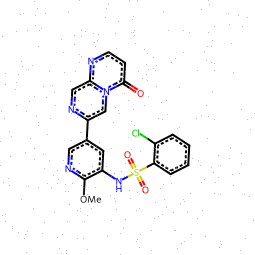 COc1ncc(-c2cn3c(=O)ccnc3cn2)cc1NS(=O)(=O)c1ccccc1Cl